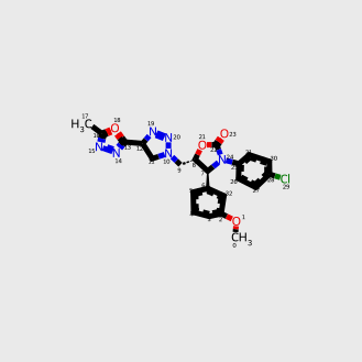 COc1cccc([C@H]2[C@H](CN3CC(c4nnc(C)o4)N=N3)OC(=O)N2c2ccc(Cl)cc2)c1